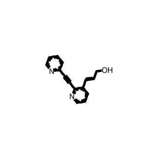 OCC=Cc1cccnc1C#Cc1ccccn1